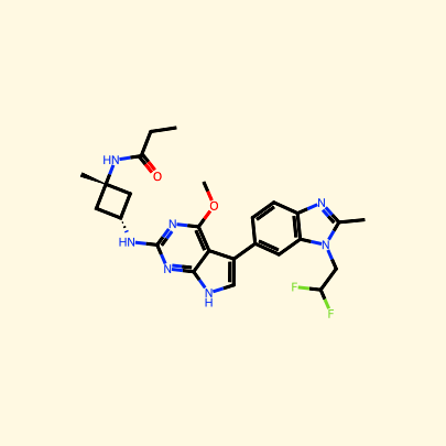 CCC(=O)N[C@]1(C)C[C@H](Nc2nc(OC)c3c(-c4ccc5nc(C)n(CC(F)F)c5c4)c[nH]c3n2)C1